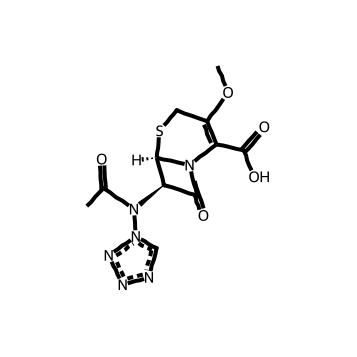 COC1=C(C(=O)O)N2C(=O)[C@@H](N(C(C)=O)n3cnnn3)[C@H]2SC1